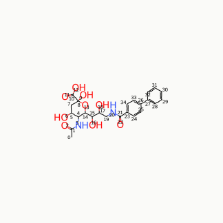 CC(=O)NC1C(O)CC(O)(C(=O)O)OC1C(O)C(O)CNC(=O)c1ccc(-c2ccccc2)cc1